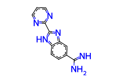 N=C(N)c1ccc2[nH]c(-c3ncccn3)nc2c1